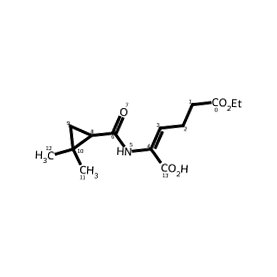 CCOC(=O)CCC=C(NC(=O)C1CC1(C)C)C(=O)O